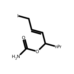 CCCC(C=CCI)OC(N)=O